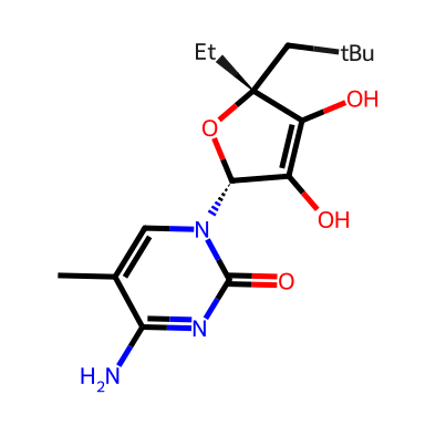 CC[C@]1(CC(C)(C)C)O[C@@H](n2cc(C)c(N)nc2=O)C(O)=C1O